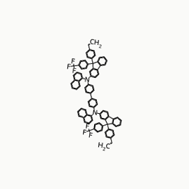 C=Cc1ccc(C2(c3ccc(C(F)(F)F)cc3)c3ccccc3-c3ccc(N(c4ccc(-c5ccc(N(c6ccc7c(c6)C(c6ccc(C=C)cc6)(c6ccc(C(F)(F)F)cc6)c6ccccc6-7)c6cccc7ccccc67)cc5)cc4)c4cccc5ccccc45)cc32)cc1